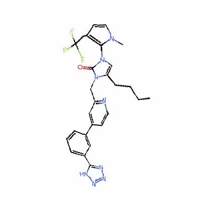 CCCCc1cn(-c2c(C(F)(F)F)ccn2C)c(=O)n1Cc1cc(-c2cccc(-c3nnn[nH]3)c2)ccn1